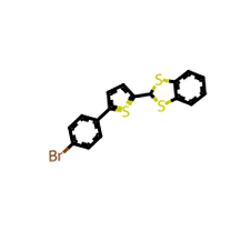 Brc1ccc(-c2ccc(C3Sc4ccccc4S3)s2)cc1